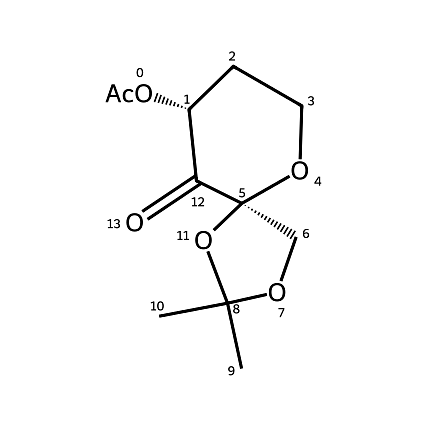 CC(=O)O[C@@H]1CCO[C@]2(COC(C)(C)O2)C1=O